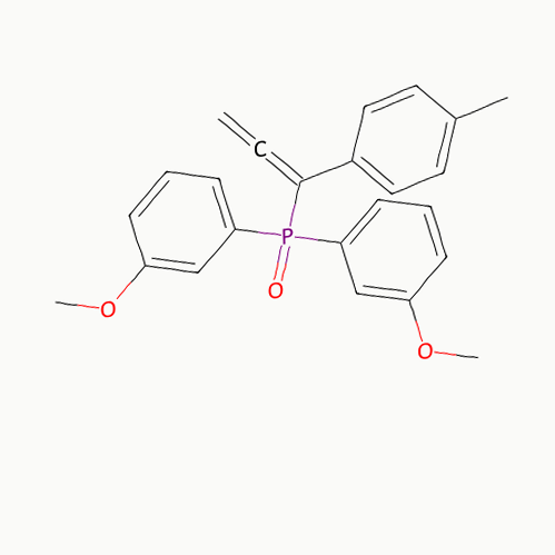 C=C=C(c1ccc(C)cc1)P(=O)(c1cccc(OC)c1)c1cccc(OC)c1